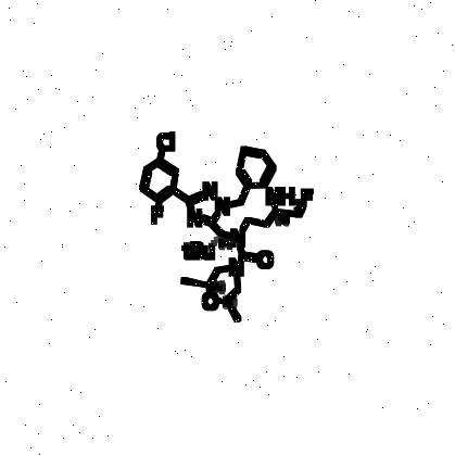 C[C@@H]1CN(C(=O)N(CC[C@H](N)CF)[C@@H](c2nc(-c3cc(Cl)ccc3F)nn2Cc2ccccc2)C(C)(C)C)C[C@H](C)O1